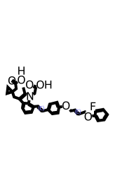 Cc1c(CC2(CC(=O)O)CC2)c2cccc(/C=C/c3ccc(OC/C=C/COc4ccccc4F)cc3)c2n1CC(=O)O